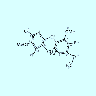 COc1c(Cl)cc(Oc2ccc(OC(F)(F)F)c(F)c2OC)c(C(=O)O)c1F